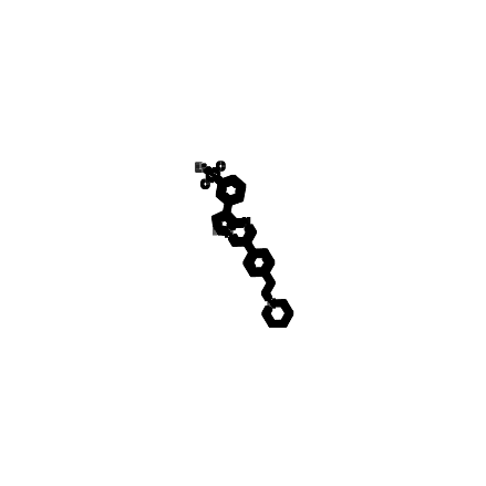 CCS(=O)(=O)c1cccc(-c2cnn3cc(-c4ccc(CCN5CCCCC5)cc4)cnc23)c1